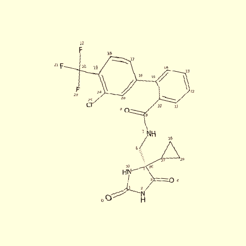 O=C1NC(=O)[C@](CNC(=O)c2ccccc2-c2ccc(C(F)(F)F)c(Cl)c2)(C2CC2)N1